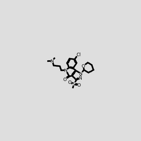 CN(C)CCCn1c(=O)c2c(S(C)(=O)=O)nn(C3CCCCO3)c2c2cc(Cl)ccc21